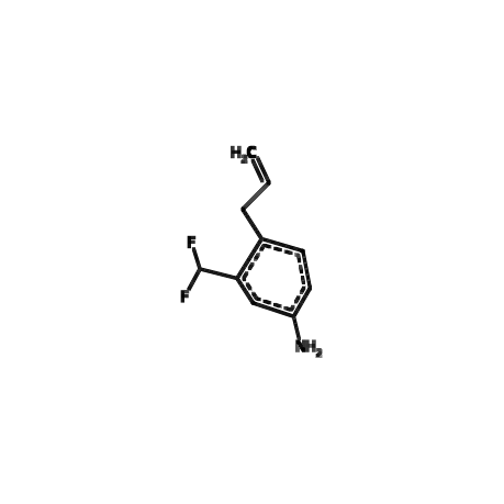 C=CCc1ccc(N)cc1C(F)F